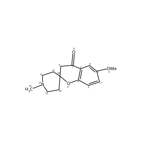 COc1ccc2c(c1)C(=O)CC1(CCN(C)CC1)O2